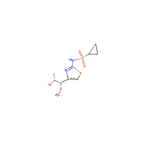 COC(C(=O)O)c1csc(NS(=O)(=O)C2CC2)n1